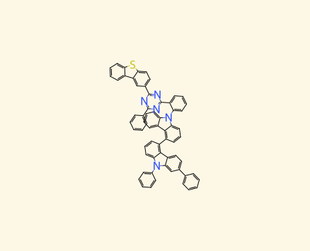 c1ccc(-c2ccc3c4c(-c5cccc6c5c5ccccc5n6-c5ccccc5-c5nc(-c6ccccc6)nc(-c6ccc7sc8ccccc8c7c6)n5)cccc4n(-c4ccccc4)c3c2)cc1